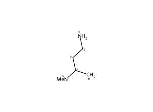 [CH2]C(CCN)NC